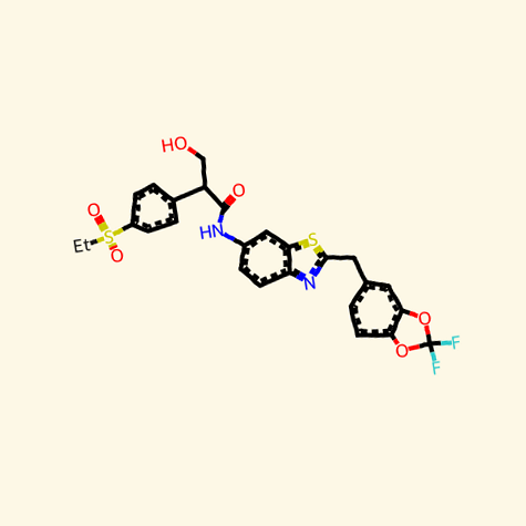 CCS(=O)(=O)c1ccc(C(CO)C(=O)Nc2ccc3nc(Cc4ccc5c(c4)OC(F)(F)O5)sc3c2)cc1